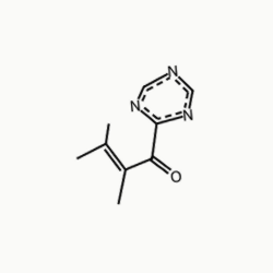 CC(C)=C(C)C(=O)c1ncncn1